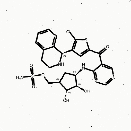 NS(=O)(=O)OC[C@H]1C[C@@H](Nc2ncncc2C(=O)c2cc([C@H]3NCCc4ccccc43)c(Cl)s2)[C@@H](O)[C@@H]1O